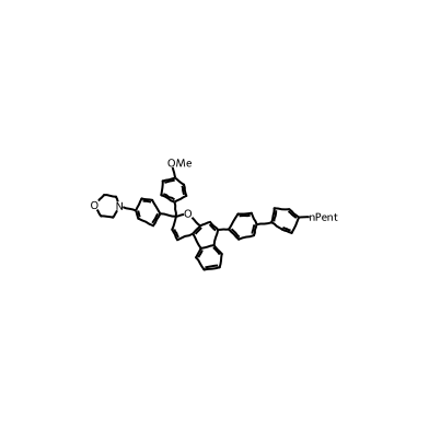 CCCCCc1ccc(-c2ccc(-c3cc4c(c5ccccc35)C=CC(c3ccc(OC)cc3)(c3ccc(N5CCOCC5)cc3)O4)cc2)cc1